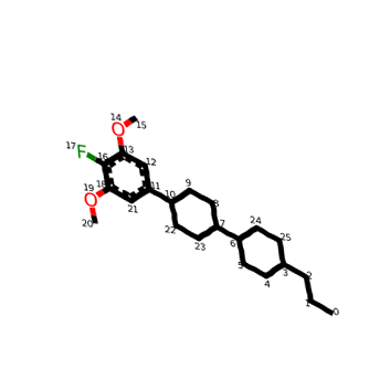 CCCC1CCC(C2CCC(c3cc(OC)c(F)c(OC)c3)CC2)CC1